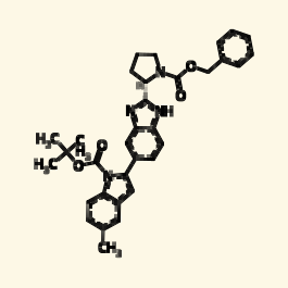 Cc1ccc2c(c1)cc(-c1ccc3[nH]c([C@@H]4CCCN4C(=O)OCc4ccccc4)nc3c1)n2C(=O)OC(C)(C)C